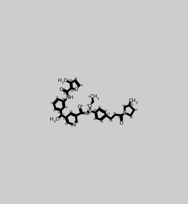 CCO/S(=N\C(=O)c1cncc(C(C)c2cccc(NC(=O)c3occc3C)c2)c1)c1ccc(CCC(=O)N2CCC(C)C2)cc1